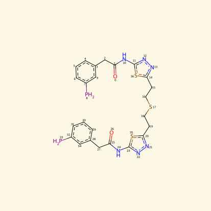 O=C(Cc1cccc(P)c1)Nc1nnc(CCSCCc2nnc(NC(=O)Cc3cccc(P)c3)s2)s1